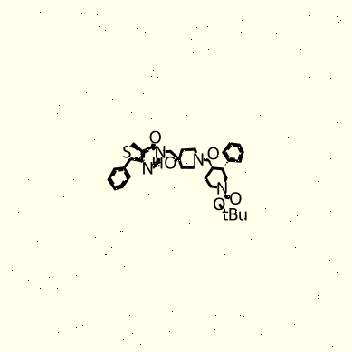 CC(C)(C)OC(=O)N1CC[C@@H](C(=O)N2CCC(O)(Cn3cnc4c(-c5ccccc5)scc4c3=O)CC2)[C@H](c2ccccc2)C1